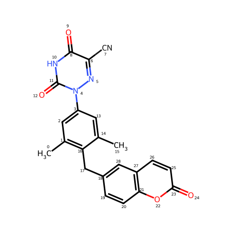 Cc1cc(-n2nc(C#N)c(=O)[nH]c2=O)cc(C)c1Cc1ccc2oc(=O)ccc2c1